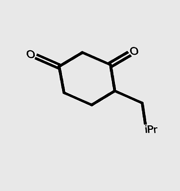 CC(C)CC1CCC(=O)CC1=O